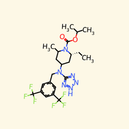 CC[C@@H]1CC(N(Cc2cc(C(F)(F)F)cc(C(F)(F)F)c2)c2nn[nH]n2)CC(C)N1C(=O)OC(C)C